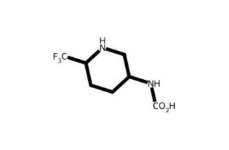 O=C(O)NC1CCC(C(F)(F)F)NC1